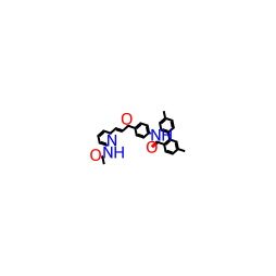 CC(=O)Nc1cccc(C=CC(=O)c2ccc(NC(=O)c3ccc(C)cc3-c3ccc(C)cc3)cc2)n1